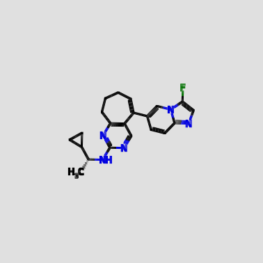 C[C@@H](Nc1ncc2c(n1)CCCC=C2c1ccc2ncc(F)n2c1)C1CC1